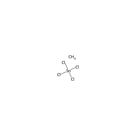 C.[Cl][Sn]([Cl])([Cl])[Cl]